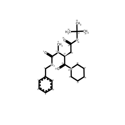 CN(C(=O)OCc1ccccc1)[C@@H](CC(=O)OC(C)(C)C)C(=O)N1CCCCC1